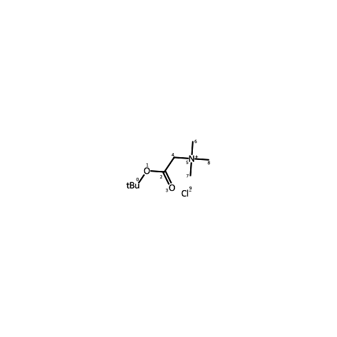 CC(C)(C)OC(=O)C[N+](C)(C)C.[Cl-]